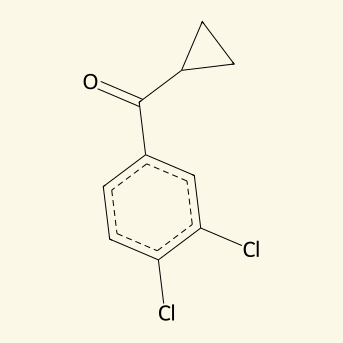 O=C(c1ccc(Cl)c(Cl)c1)C1CC1